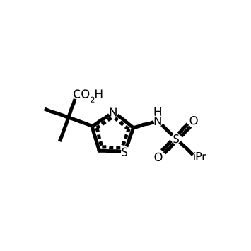 CC(C)S(=O)(=O)Nc1nc(C(C)(C)C(=O)O)cs1